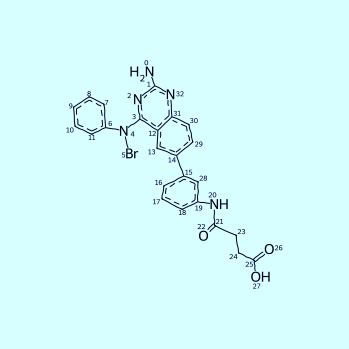 Nc1nc(N(Br)c2ccccc2)c2cc(-c3cccc(NC(=O)CCC(=O)O)c3)ccc2n1